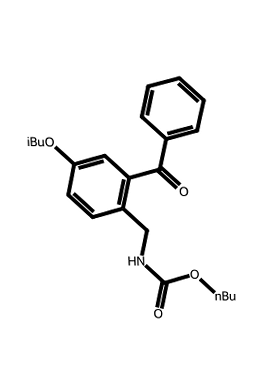 CCCCOC(=O)NCc1ccc(OCC(C)C)cc1C(=O)c1ccccc1